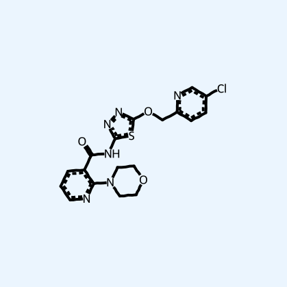 O=C(Nc1nnc(OCc2ccc(Cl)cn2)s1)c1cccnc1N1CCOCC1